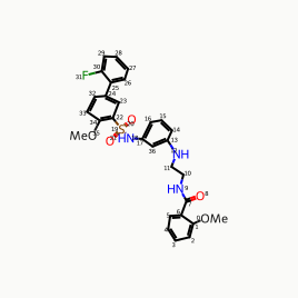 COc1ccccc1C(=O)NCCNc1cccc(NS(=O)(=O)c2cc(-c3ccccc3F)ccc2OC)c1